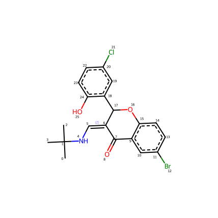 CC(C)(C)N/C=C1\C(=O)c2cc(Br)ccc2OC1c1cc(Cl)ccc1O